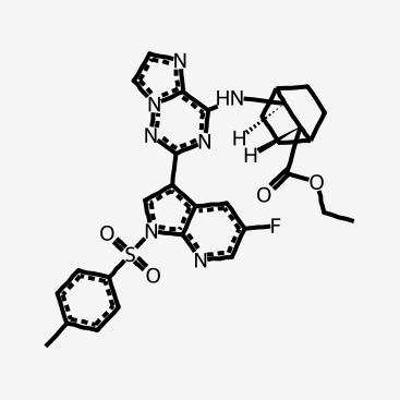 CCOC(=O)[C@H]1C2CCC(CC2)[C@@H]1Nc1nc(-c2cn(S(=O)(=O)c3ccc(C)cc3)c3ncc(F)cc23)nn2ccnc12